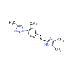 COc1cc(C=Cc2nc(C)c(C)[nH]2)ccc1-n1cnc(C)c1